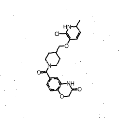 CC1C=CC(OCC2CCN(C(=O)c3ccc4c(c3)NC(=O)CO4)CC2)=C(Cl)N1